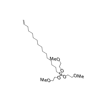 C=CCCCCCCCCCCCCCC[Si](OCCOC)(OCCOC)OCCOC